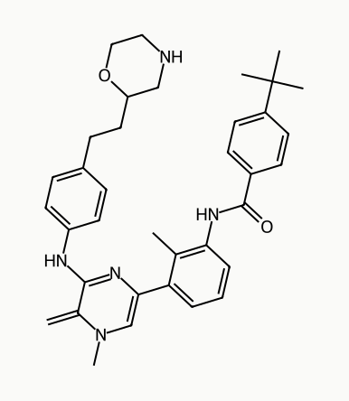 C=C1C(Nc2ccc(CCC3CNCCO3)cc2)=NC(c2cccc(NC(=O)c3ccc(C(C)(C)C)cc3)c2C)=CN1C